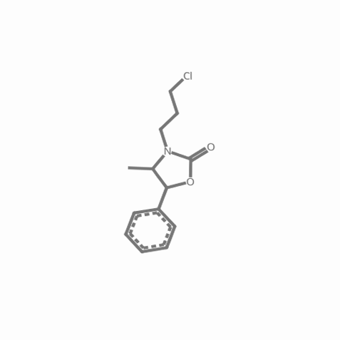 CC1C(c2ccccc2)OC(=O)N1CCCCl